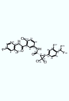 O=C(Nc1ncc(F)cc1F)c1cc(NC(=O)[C@@H]2[C@@H](c3ccc(C(F)F)c(F)c3)C2(Cl)Cl)ccc1Cl